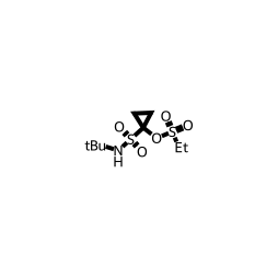 CCS(=O)(=O)OC1(S(=O)(=O)NC(C)(C)C)CC1